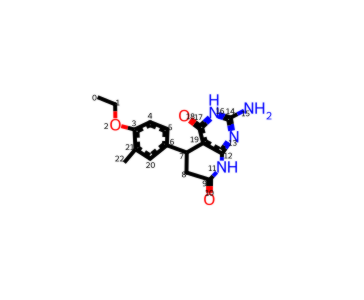 CCOc1ccc(C2CC(=O)Nc3nc(N)[nH]c(=O)c32)cc1C